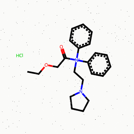 CCOCC(=O)[N+](CCN1CCCC1)(c1ccccc1)c1ccccc1.Cl